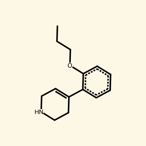 CCCOc1ccccc1C1=CCNCC1